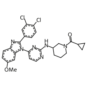 COc1ccc2nc(-c3ccc(Cl)c(Cl)c3)n(-c3ccnc(NC4CCCN(C(=O)C5CC5)C4)n3)c2c1